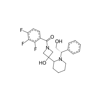 O=C(c1ccc(F)c(F)c1F)N1CC(O)(C2CCCCN2[C@H](CO)c2ccccc2)C1